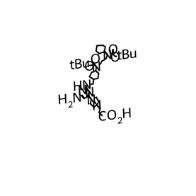 CC(C)(C)OC(=O)N(CCCN(C(=O)OC(C)(C)C)C1CCC(CNc2nc(N)cc(N3CCN(CCC(=O)O)CC3)n2)CC1)C1CCCCC1